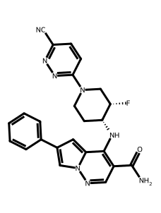 N#Cc1ccc(N2CC[C@@H](Nc3c(C(N)=O)cnn4cc(-c5ccccc5)cc34)[C@@H](F)C2)nn1